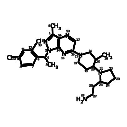 Cc1nn(C(C)c2ccc(Cl)cc2Cl)c2nc(N3CCC(N4CCCC4CCN)C(C)C3)cnc12